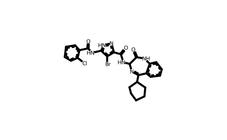 O=C(Nc1[nH]nc(C(=O)NC2N=C(C3CCCCC3)c3ccccc3NC2=O)c1Br)c1ccccc1Cl